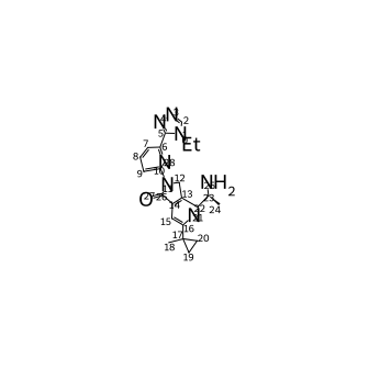 CCn1cnnc1-c1cccc(N2Cc3c(cc(C4(C)CC4)nc3[C@H](C)N)C2=O)n1